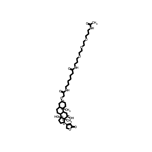 CC(=O)NCCCOCCOCCOCCCNC(=O)CCCCCCNC(=O)CO[C@H]1CC[C@@]2(C)C(CCC3C2C[C@@H](O)[C@]2(C)[C@@H](C4=CC(=O)OC4)CC[C@]32O)C1